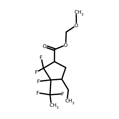 CCC1CC(C(=O)OCOC)C(F)(F)C1(F)C(C)(F)F